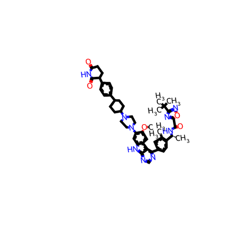 COc1cc2c(cc1N1CCN(C3CCC(c4ccc(C5CCC(=O)NC5=O)cc4)CC3)CC1)[nH]c1ncnc(-c3ccc([C@@H](C)NC(=O)c4nc(C(C)(C)C)no4)c(C)c3)c12